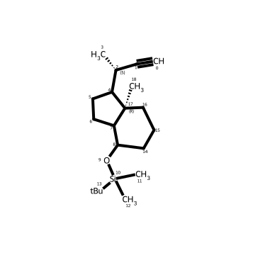 C#C[C@@H](C)C1CCC2C(O[Si](C)(C)C(C)(C)C)CCC[C@@]21C